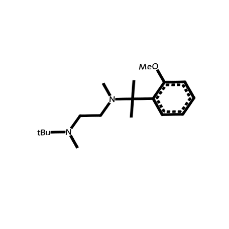 COc1ccccc1C(C)(C)N(C)CCN(C)C(C)(C)C